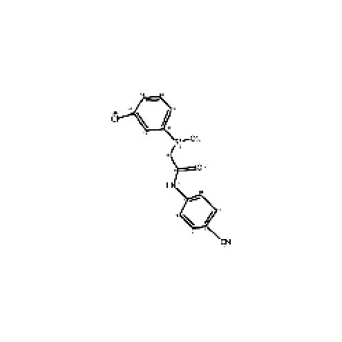 N#Cc1ccc(NC(=O)C[S+]([O-])c2cccc(Cl)c2)cc1